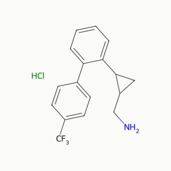 Cl.NCC1CC1c1ccccc1-c1ccc(C(F)(F)F)cc1